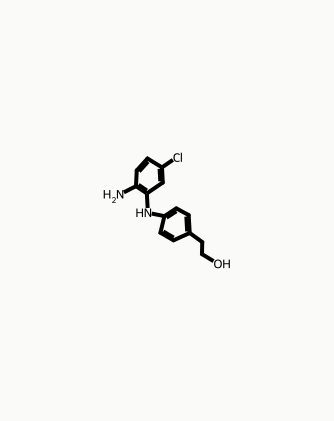 Nc1ccc(Cl)cc1Nc1ccc(CCO)cc1